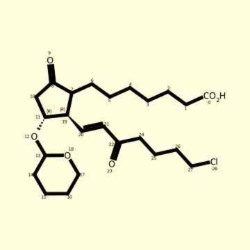 O=C(O)CCCCCCC1C(=O)C[C@@H](OC2CCCCO2)[C@@H]1C=CC(=O)CCCCCl